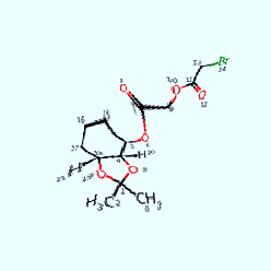 CC1(C)O[C@H]2[C@H](OC(=O)COC(=O)CBr)CCC[C@H]2O1